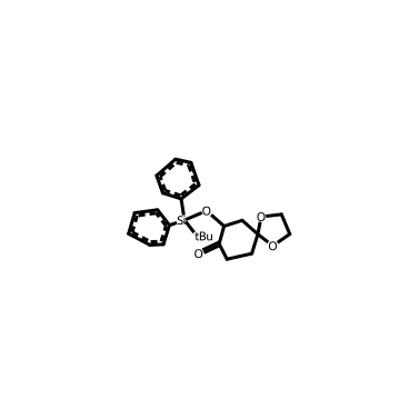 CC(C)(C)[Si](OC1CC2(CCC1=O)OCCO2)(c1ccccc1)c1ccccc1